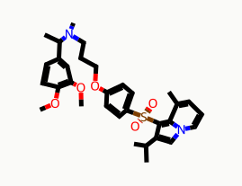 COc1ccc(C(C)N(C)CCCOc2ccc(S(=O)(=O)c3c(C(C)C)cn4cccc(C)c34)cc2)cc1OC